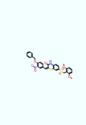 COc1cccc(OC)c1CS(=O)(=O)c1ccc2c(c1)S/C(=C/c1ccc(OCc3ccccc3)c([N+](=O)[O-])c1)C(=O)N2